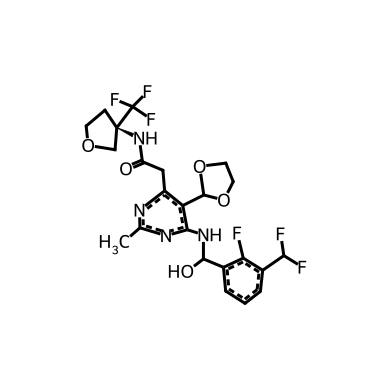 Cc1nc(CC(=O)N[C@]2(C(F)(F)F)CCOC2)c(C2OCCO2)c(NC(O)c2cccc(C(F)F)c2F)n1